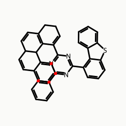 C1=CC2C=Cc3ccccc3C2C2=C1CCC=C2c1nc(-c2ccccc2)nc(-c2cccc3sc4ccccc4c23)n1